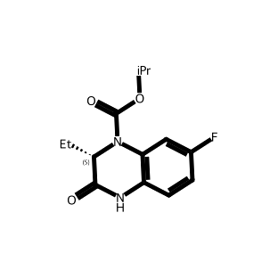 CC[C@H]1C(=O)Nc2ccc(F)cc2N1C(=O)OC(C)C